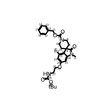 CN1C(=O)C2(CCN(C(=O)OCc3ccccc3)CC2)c2c(F)cc(OCCNC(=O)OC(C)(C)C)cc21